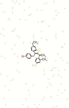 C=C(c1ccc(F)cc1C)c1sc2cc(CC)ccc2c1Cc1ccc(Br)cc1